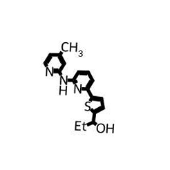 CCC(O)c1ccc(-c2cccc(Nc3cc(C)ccn3)n2)s1